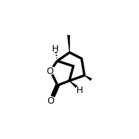 C[C@@H]1C[C@H](C)[C@H]2C[C@H]1C(=O)O2